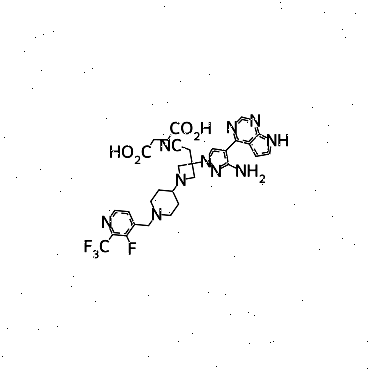 N#CCC1(n2cc(-c3ncnc4[nH]ccc34)c(N)n2)CN(C2CCN(Cc3ccnc(C(F)(F)F)c3F)CC2)C1.O=C(O)CCC(=O)O